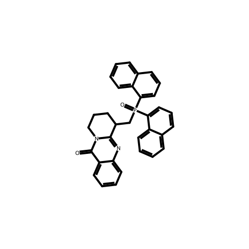 O=c1c2ccccc2nc2n1CCCC2CP(=O)(c1cccc2ccccc12)c1cccc2ccccc12